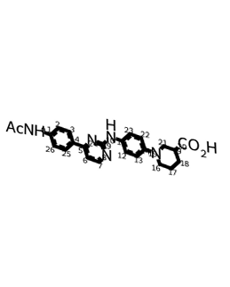 CC(=O)Nc1ccc(-c2ccnc(Nc3ccc(N4CCCC(C(=O)O)C4)cc3)n2)cc1